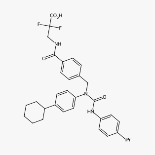 CC(C)c1ccc(NC(=O)N(Cc2ccc(C(=O)NCC(F)(F)C(=O)O)cc2)c2ccc(C3CCCCC3)cc2)cc1